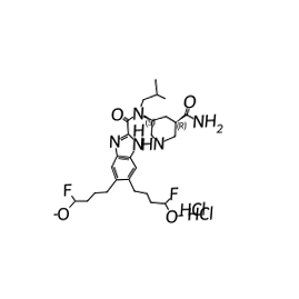 COC(F)CCCc1cc2nc(C(=O)N(CC(C)C)[C@@H]3CNC[C@H](C(N)=O)C3)[nH]c2cc1CCCC(F)OC.Cl.Cl